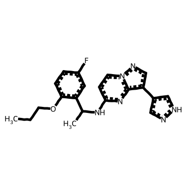 CCCOc1ccc(F)cc1C(C)Nc1ccn2ncc(-c3cn[nH]c3)c2n1